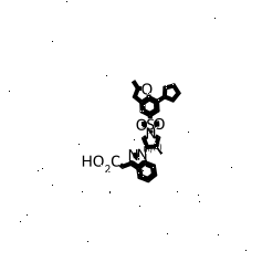 CC1Cc2cc(S(=O)(=O)N3C[C@@H](C)[C@@H](n4nc(CC(=O)O)c5ccccc54)C3)cc(C3CCCC3)c2O1